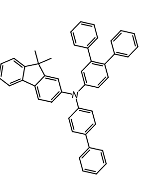 CC1(C)c2ccccc2-c2ccc(N(c3ccc(-c4ccccc4)cc3)c3ccc(-c4ccccc4)c(-c4ccccc4)c3)cc21